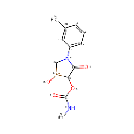 CC(C)NC(=O)OC1C(=O)N(c2cccc(C(F)(F)F)c2)C[S+]1[O-]